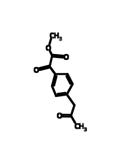 COC(=O)C(=O)c1ccc(CC(C)=O)cc1